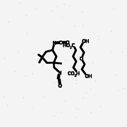 CC1(C)CC(N=C=O)CC(C)(CN=C=O)C1.O=C(O)CCCCC(=O)O.OCCOCCO